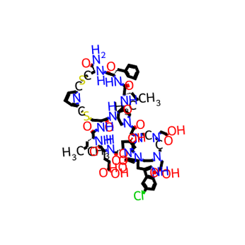 CC(C)C[C@@H]1NC(=O)C2(CCN(C(=O)CN3CCN(CC(=O)O)CCN(CC(=O)O)CCN(CC(=O)O)CC3)CC2)NC(=O)[C@@H](NC(=O)[C@@H](CC(C)C)NC(=O)[C@H](CCC(=O)O)NC(=O)[C@@H]2C[C@@H](O)CN2C(=O)CCc2c[nH]c3ccc(Cl)cc23)CSCc2cccc(n2)CSC[C@@H](C(N)=O)NC(=O)[C@H](Cc2ccccc2)NC1=O